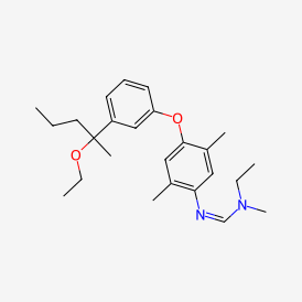 CCCC(C)(OCC)c1cccc(Oc2cc(C)c(/N=C\N(C)CC)cc2C)c1